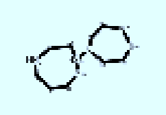 C1CNCC[SH](N2CCSSCC2)SC1